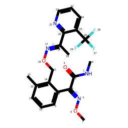 CNC(=O)/C(=N/OC)c1cccc(C)c1CO/N=C(\C)c1ncccc1C(F)(F)F